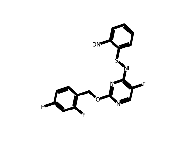 O=Nc1ccccc1SNc1nc(OCc2ccc(F)cc2F)ncc1F